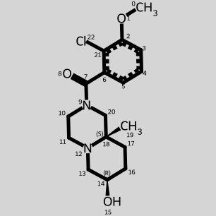 COc1cccc(C(=O)N2CCN3C[C@H](O)CC[C@@]3(C)C2)c1Cl